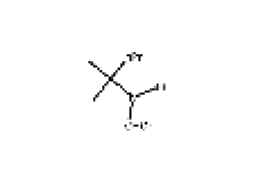 CCCC(C)(C)N([C]=O)CC